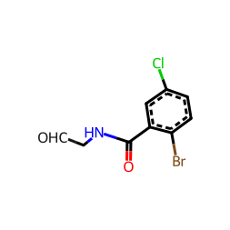 O=CCNC(=O)c1cc(Cl)ccc1Br